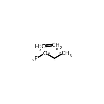 C=C.CCOF